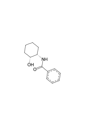 O=C(N[C@H]1CCCC[C@H]1O)c1ccccc1